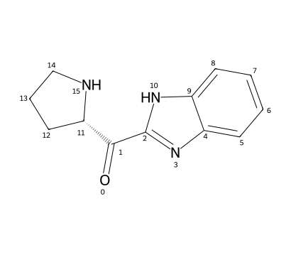 O=C(c1nc2ccccc2[nH]1)[C@@H]1CCCN1